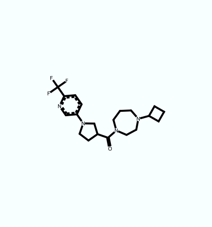 O=C(C1CCN(c2ccc(C(F)(F)F)nc2)C1)N1CCCN(C2CCC2)CC1